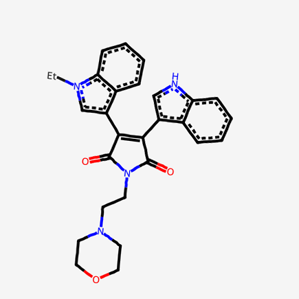 CCn1cc(C2=C(c3c[nH]c4ccccc34)C(=O)N(CCN3CCOCC3)C2=O)c2ccccc21